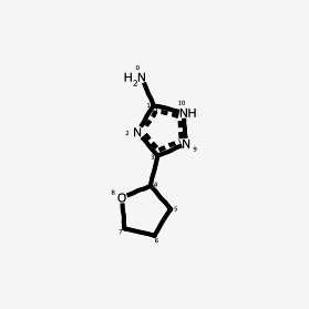 Nc1nc(C2CCCO2)n[nH]1